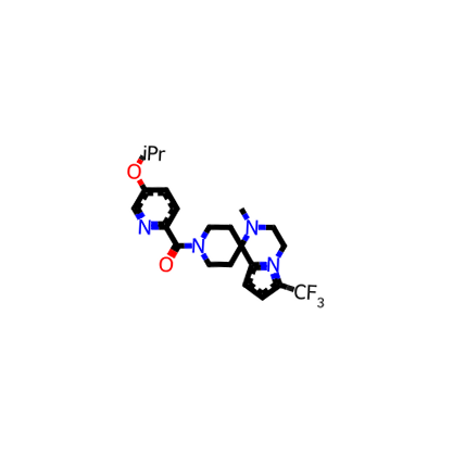 CC(C)Oc1ccc(C(=O)N2CCC3(CC2)c2ccc(C(F)(F)F)n2CCN3C)nc1